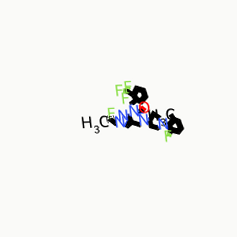 Cc1cccc(F)c1N1CCC(N2Cc3cn(C[C@H](C)F)nc3N(Cc3ccccc3C(F)(F)F)C2=O)CC1